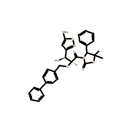 CSc1cc([C@H](O)[C@](C)(OCc2ccc(-c3ccccc3)cc2)C(=O)N2C(=O)OC(C)(C)C2c2ccccc2)no1